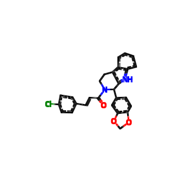 O=C(/C=C/c1ccc(Cl)cc1)N1CCc2c([nH]c3ccccc23)C1c1ccc2c(c1)OCO2